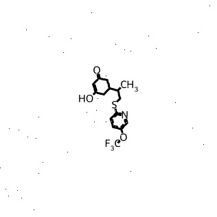 CC(CSc1ccc(OC(F)(F)F)cn1)C1CC(=O)C=C(O)C1